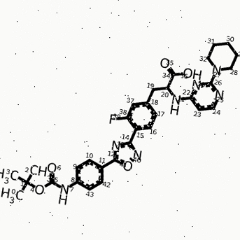 CC(C)(C)OC(=O)Nc1ccc(-c2nc(-c3ccc(CC(Nc4ccnc(N5CCCCC5)n4)C(=O)O)cc3F)no2)cc1